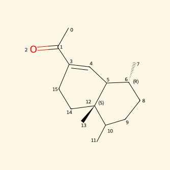 CC(=O)C1=CC2[C@H](C)CCC(C)[C@]2(C)CC1